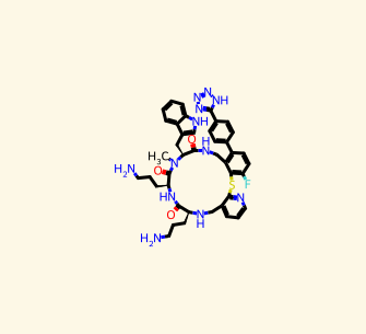 CN1C(=O)[C@H](CCCN)NC(=O)[C@H](CCCN)NCc2cccnc2Sc2c(F)ccc(-c3ccc(-c4nnn[nH]4)cc3)c2CNC(=O)[C@@H]1Cc1c[nH]c2ccccc12